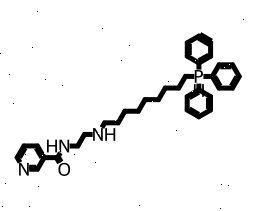 O=C(NCCNCCCCCCCCC[PH](c1cc#ccc1)(c1ccccc1)c1ccccc1)c1cccnc1